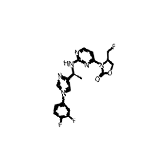 C[C@H](Nc1nccc(N2C(=O)OCC2CF)n1)c1cn(-c2ccc(F)c(F)c2)cn1